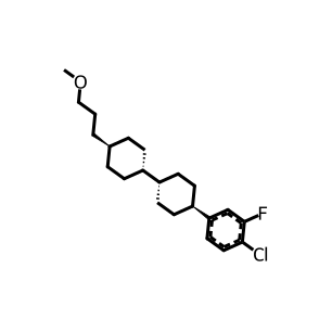 COCCC[C@H]1CC[C@H]([C@H]2CC[C@H](c3ccc(Cl)c(F)c3)CC2)CC1